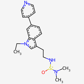 CCn1cc(CCN[S+]([O-])N(C)C)c2ccc(-c3ccncc3)cc21